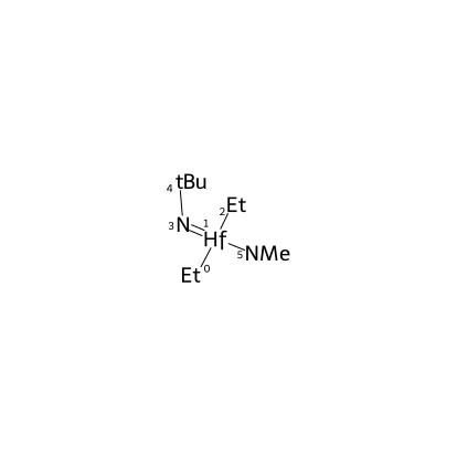 C[CH2][Hf]([CH2]C)(=[N]C(C)(C)C)[NH]C